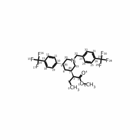 CCC(C(=O)OC)[C@H]1C[C@H](c2ccc(C(F)(F)F)cc2)CN(Cc2ccc(C(F)(F)F)cc2)C1